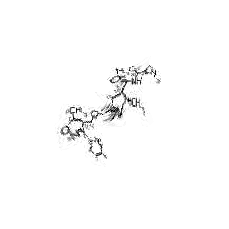 Cc1onc(-c2ccccn2)c1COc1cc(C(=O)NC(C)C)n(C)n1